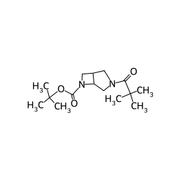 CC(C)(C)OC(=O)N1CC2CN(C(=O)C(C)(C)C)CC21